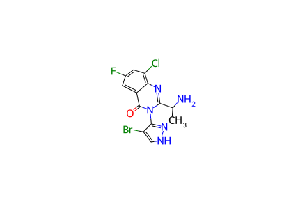 CC(N)c1nc2c(Cl)cc(F)cc2c(=O)n1-c1n[nH]cc1Br